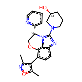 Cc1noc(C)c1-c1ccc2nc(N3CCC[C@H](O)C3)n3c2c1OC[C@@H]3c1ccccn1